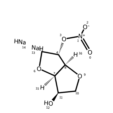 O=[N+]([O-])O[C@H]1CO[C@H]2[C@@H]1OC[C@H]2O.[NaH].[NaH]